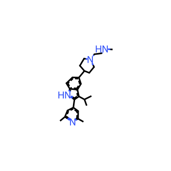 CNCCN1CCC(c2ccc3[nH]c(-c4cc(C)nc(C)c4)c(C(C)C)c3c2)CC1